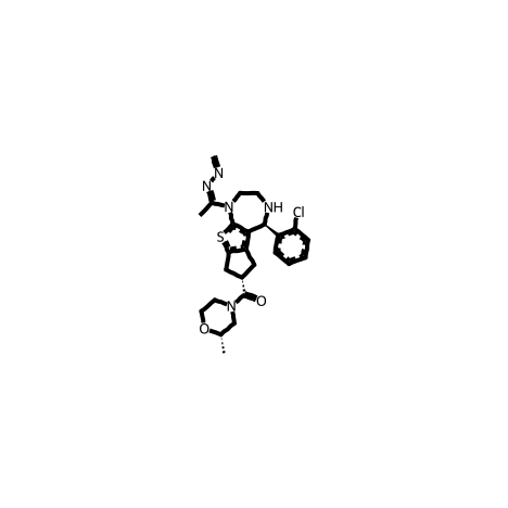 C=N/N=C(/C)N1CCN[C@@H](c2ccccc2Cl)c2c1sc1c2C[C@H](C(=O)N2CCO[C@@H](C)C2)C1